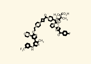 Cc1ncc(Nc2cccc(C(F)(F)F)c2)cc1-c1cnc(OCCN2CCN(C3CC(C(=O)N4CCC([C@H](NC(=O)[C@H](C)N(C)C(=O)O)C(=O)N5CCC[C@H]5c5nc(C(=O)c6ccc(F)cc6)cs5)CC4)C3)CC2)c(N2CCOCC2)c1